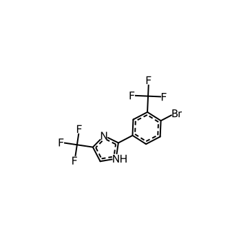 FC(F)(F)c1c[nH]c(-c2ccc(Br)c(C(F)(F)F)c2)n1